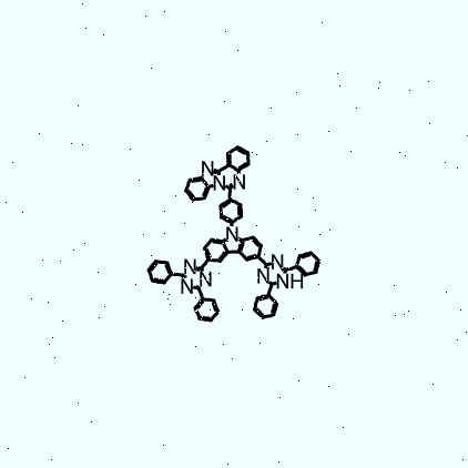 c1ccc(C2=NC(c3ccc4c(c3)c3cc(-c5nc(-c6ccccc6)nc(-c6ccccc6)n5)ccc3n4-c3ccc(-c4nc5ccccc5c5nc6ccccc6n45)cc3)=NC(c3ccccc3)N2)cc1